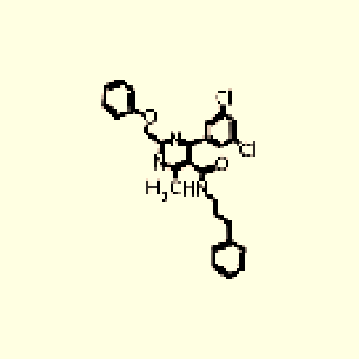 Cc1nc(COc2ccccc2)nc(-c2cc(Cl)cc(Cl)c2)c1C(=O)NCCCc1ccccc1